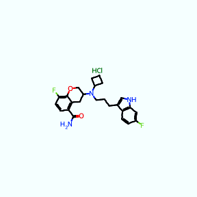 Cl.NC(=O)c1ccc(F)c2c1CC(N(CCCc1c[nH]c3cc(F)ccc13)C1CCC1)CO2